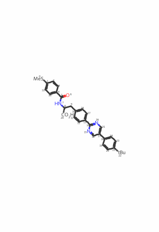 CSc1ccc(C(=O)NC(Cc2ccc(-c3ncc(-c4ccc(C(C)(C)C)cc4)cn3)cc2)C(=O)O)cc1